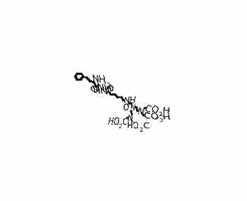 N[C@H](CCc1ccccc1)C(=O)NNC(=O)CCCCCNC(=O)CN(CCN(CC(=O)O)CC(=O)O)CCN(CC(=O)O)CC(=O)O